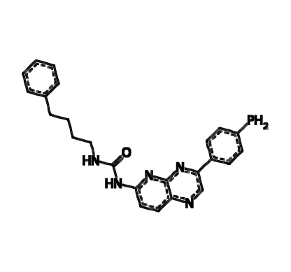 O=C(NCCCCc1ccccc1)Nc1ccc2ncc(-c3ccc(P)cc3)nc2n1